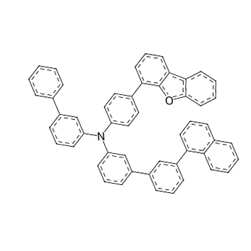 c1ccc(-c2cccc(N(c3ccc(-c4cccc5c4oc4ccccc45)cc3)c3cccc(-c4cccc(-c5cccc6ccccc56)c4)c3)c2)cc1